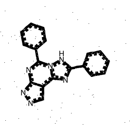 c1ccc(-c2nc3c4cnnc-4nc(-c4ccccc4)n3[nH]2)cc1